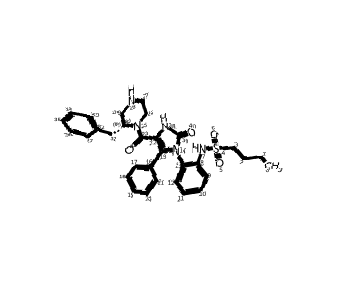 CCCCS(=O)(=O)Nc1ccccc1-n1c(-c2ccccc2)c(C(=O)N2CCNC[C@H]2Cc2ccccc2)[nH]c1=O